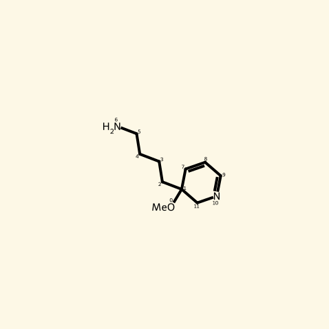 COC1(CCCCN)C=CC=NC1